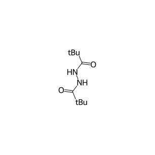 CC(C)(C)C(=O)NNC(=O)C(C)(C)C